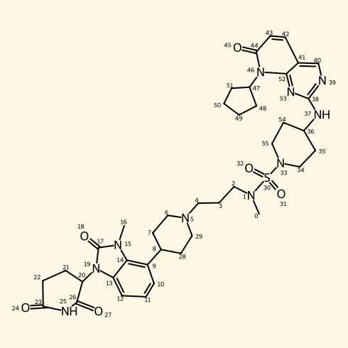 CN(CCCN1CCC(c2cccc3c2n(C)c(=O)n3C2CCC(=O)NC2=O)CC1)S(=O)(=O)N1CCC(Nc2ncc3ccc(=O)n(C4CCCC4)c3n2)CC1